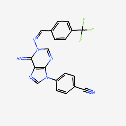 N#Cc1ccc(-n2cnc3c(=N)n(/N=C\c4ccc(C(F)(F)F)cc4)cnc32)cc1